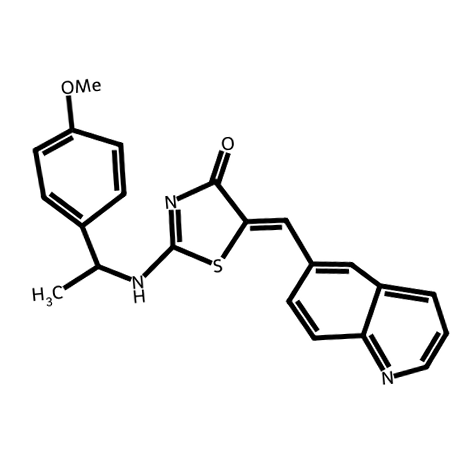 COc1ccc(C(C)NC2=NC(=O)/C(=C/c3ccc4ncccc4c3)S2)cc1